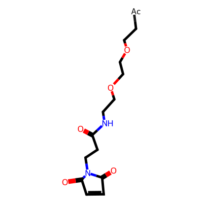 CC(=O)CCOCCOCCNC(=O)CCN1C(=O)C=CC1=O